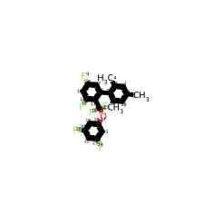 Cc1cc(C)c(-c2cc(F)cc(F)c2C(F)(F)Oc2cc(F)cc(F)c2)c(C)c1